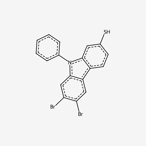 Sc1ccc2c3cc(Br)c(Br)cc3n(-c3ccccc3)c2c1